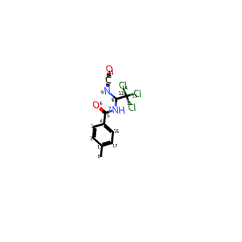 Cc1ccc(C(=O)NC(N=C=O)C(Cl)(Cl)Cl)cc1